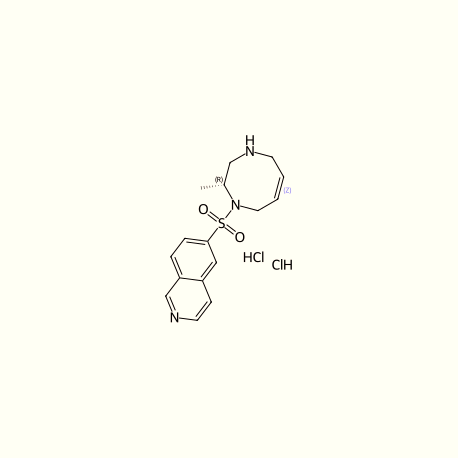 C[C@@H]1CNC/C=C\CN1S(=O)(=O)c1ccc2cnccc2c1.Cl.Cl